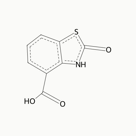 O=C(O)c1cccc2sc(=O)[nH]c12